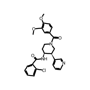 COc1ccc(C(=O)N2CC[C@H](NC(=O)c3ccccc3Cl)[C@H](c3cccnc3)C2)cc1OC